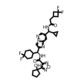 O=C(CC1CC(F)(F)C1)NC(c1cnn2cc([C@@H](NC(=O)c3nonc3C3(O)CCCC3)C3CCC(F)(F)CC3)nc2c1)C1CC1